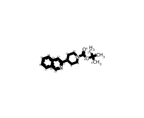 CC(C)(C)OC(=O)N1CCC(c2cc3ccccc3cn2)CC1